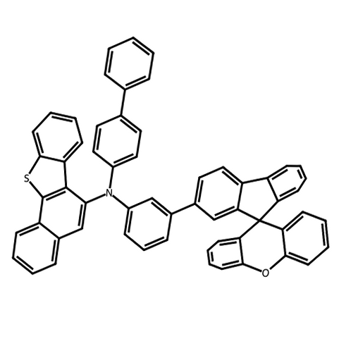 c1ccc(-c2ccc(N(c3cccc(-c4ccc5c(c4)C4(c6ccccc6Oc6ccccc64)c4ccccc4-5)c3)c3cc4ccccc4c4sc5ccccc5c34)cc2)cc1